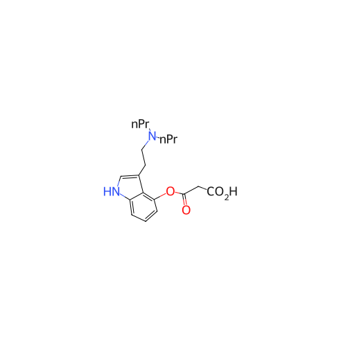 CCCN(CCC)CCc1c[nH]c2cccc(OC(=O)CC(=O)O)c12